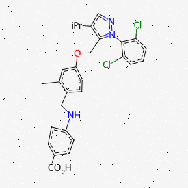 Cc1cc(OCc2c(C(C)C)cnn2-c2c(Cl)cccc2Cl)ccc1CNc1ccc(C(=O)O)cc1